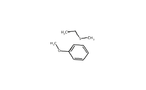 CCSC.COc1ccccc1